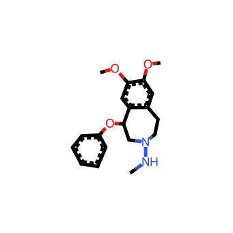 CNN1CCc2cc(OC)c(OC)cc2C(Oc2ccccc2)C1